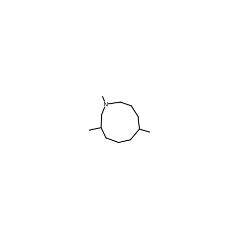 CC1CCCC(C)CN(C)CCC1